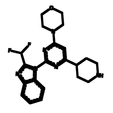 FC(F)c1nc2ccccc2n1-c1nc(C2CCNCC2)cc(N2CCOCC2)n1